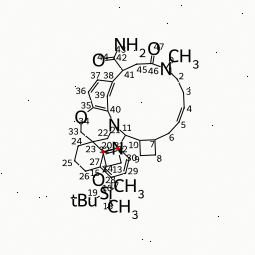 CN1CCC=CCC2CCC2C(N2CC(O[Si](C)(C)C(C)(C)C)C2)N2CC3(CCCc4ccccc43)COc3ccc(cc32)C(C(N)=O)CC1=O